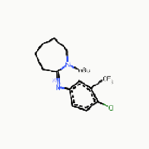 CCCCN1CCCCC/C1=N/c1ccc(Cl)c(C(F)(F)F)c1